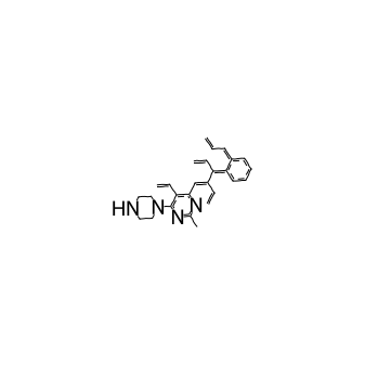 C=C/C=c1/cccc/c1=C(C=C)\C(C=C)=C\c1nc(C)nc(N2CCNCC2)c1C=C